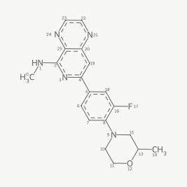 CNc1nc(-c2ccc(N3CCOC(C)C3)c(F)c2)cc2nccnc12